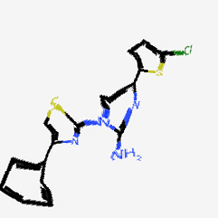 Nc1nc(-c2ccc(Cl)s2)cn1-c1nc(-c2ccccc2)cs1